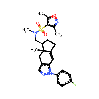 Cc1noc(C)c1S(=O)(=O)N(C)C[C@H]1CCC2=Cc3c(cnn3-c3ccc(F)cc3)C[C@@]21C